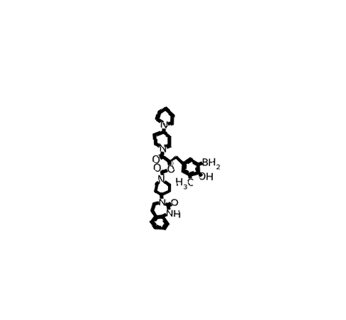 Bc1cc(C[C@@H](OC(=O)N2CCC(N3CCc4ccccc4NC3=O)CC2)C(=O)N2CCC(N3CCCCC3)CC2)cc(C)c1O